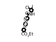 CCOC(=O)c1ccc(N2CCN(c3ccc(C(=O)Nc4ccc(I)c(Cl)c4)cn3)CC2)cc1